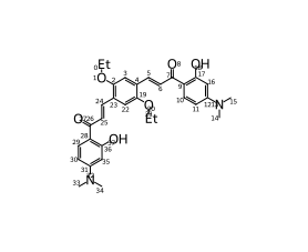 CCOc1cc(C=CC(=O)c2ccc(N(C)C)cc2O)c(OCC)cc1C=CC(=O)c1ccc(N(C)C)cc1O